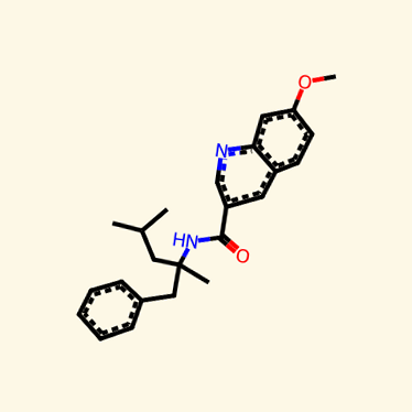 COc1ccc2cc(C(=O)NC(C)(Cc3ccccc3)CC(C)C)cnc2c1